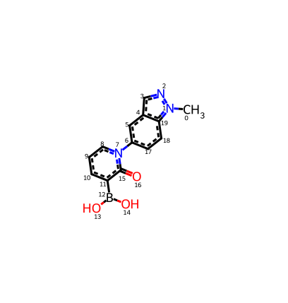 Cn1ncc2cc(-n3cccc(B(O)O)c3=O)ccc21